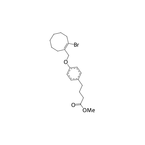 COC(=O)CCCc1ccc(OCC2=C(Br)CCCCCC2)cc1